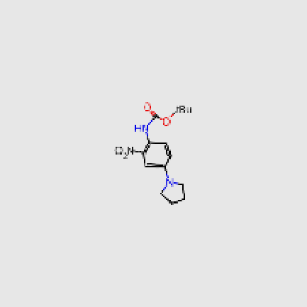 CC(C)(C)OC(=O)Nc1ccc(N2CCCC2)cc1[N+](=O)[O-]